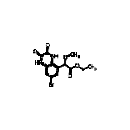 CCOC(=O)C(OC)c1cc(Br)cc2[nH]c(=O)c(=O)[nH]c12